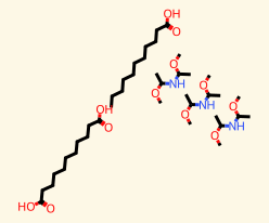 CCCCCCCCCCC(=O)O.COC(C)NC(C)OC.COC(C)NC(C)OC.COC(C)NC(C)OC.O=C(O)CCCCCCCCCC(=O)O